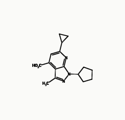 Cc1nn(C2CCCC2)c2nc(C3CC3)cc(C(=O)O)c12